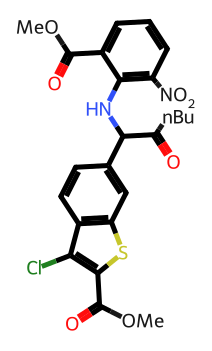 CCCCC(=O)C(Nc1c(C(=O)OC)cccc1[N+](=O)[O-])c1ccc2c(Cl)c(C(=O)OC)sc2c1